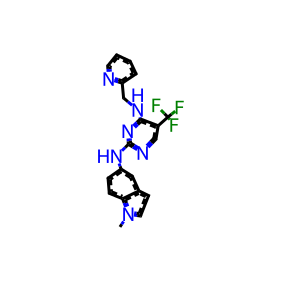 Cn1ccc2cc(Nc3ncc(C(F)(F)F)c(NCc4ccccn4)n3)ccc21